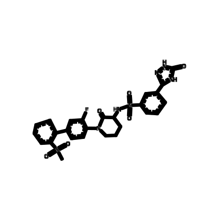 CS(=O)(=O)c1ccccc1-c1ccc(N2CCCC(NS(=O)(=O)c3cccc(-c4n[nH]c(=O)[nH]4)c3)C2=O)c(F)c1